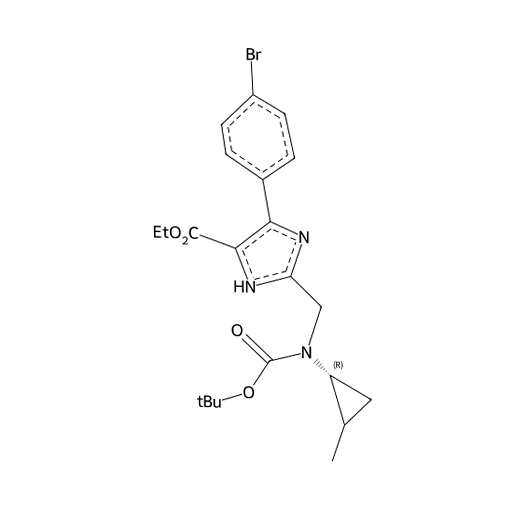 CCOC(=O)c1[nH]c(CN(C(=O)OC(C)(C)C)[C@@H]2CC2C)nc1-c1ccc(Br)cc1